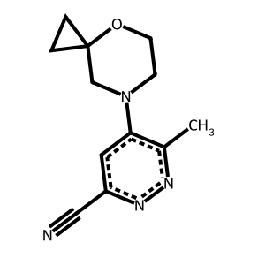 Cc1nnc(C#N)cc1N1CCOC2(CC2)C1